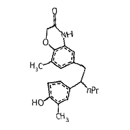 CCCC(Cc1cc(C)c2c(c1)NC(=O)CO2)c1ccc(O)c(C)c1